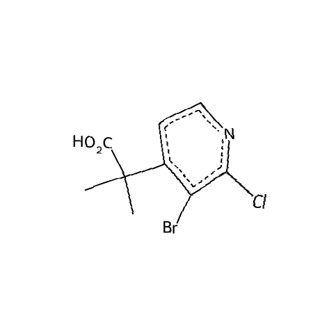 CC(C)(C(=O)O)c1ccnc(Cl)c1Br